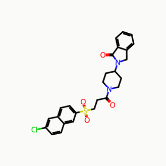 O=C(CCS(=O)(=O)c1ccc2cc(Cl)ccc2c1)N1CCC(N2Cc3ccccc3C2=O)CC1